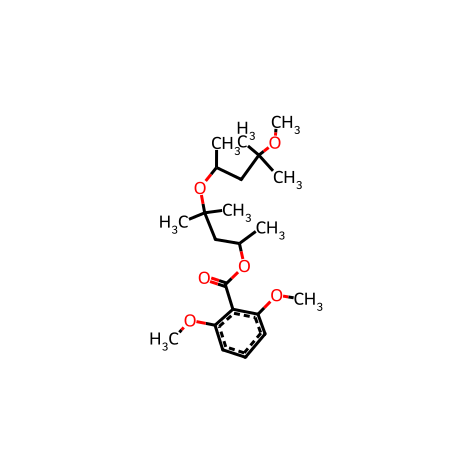 COc1cccc(OC)c1C(=O)OC(C)CC(C)(C)OC(C)CC(C)(C)OC